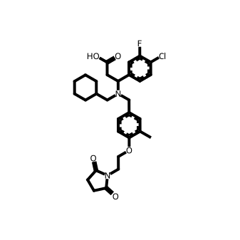 Cc1cc(CN(CC2CCCCC2)C(CC(=O)O)c2ccc(Cl)c(F)c2)ccc1OCCN1C(=O)CCC1=O